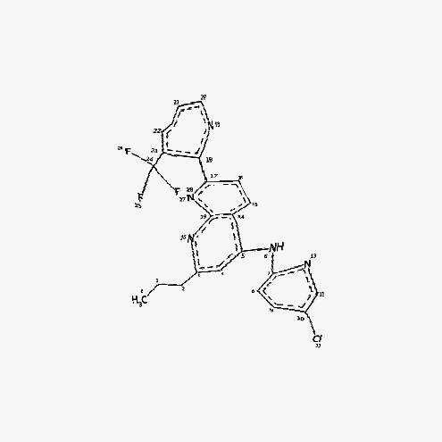 CCCc1cc(Nc2ccc(Cl)cn2)c2ccc(-c3ncccc3C(F)(F)F)nc2n1